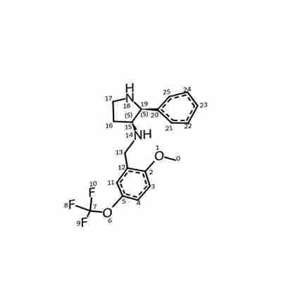 COc1ccc(OC(F)(F)F)cc1CN[C@H]1CCN[C@H]1c1ccccc1